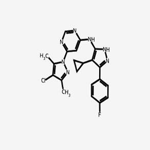 Cc1nn(-c2cc(Nc3[nH]nc(-c4ccc(F)cc4)c3C3CC3)ncn2)c(C)c1Cl